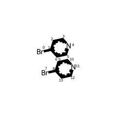 Brc1ccncc1.Brc1ccncc1